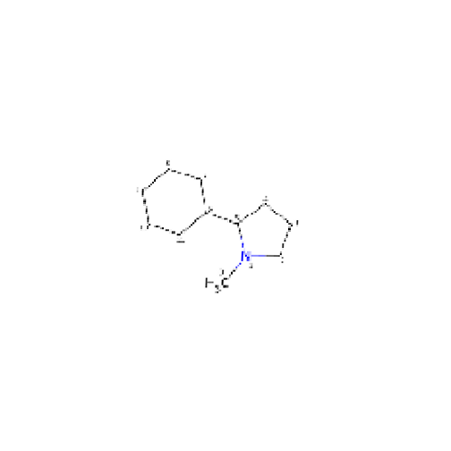 CN1CCCC1C1CCCCC1